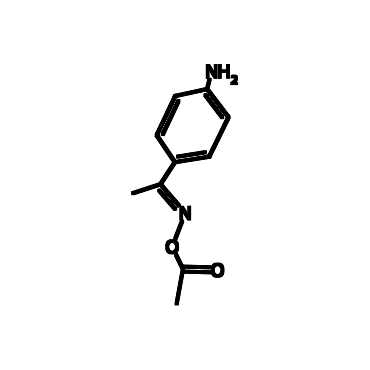 CC(=O)ON=C(C)c1ccc(N)cc1